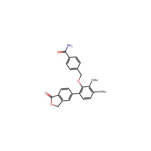 COc1ccc(-c2ccc3c(c2)COC3=O)c(OCc2ccc(C(N)=O)cc2)c1OC